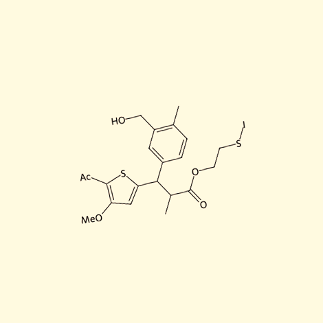 COc1cc(C(c2ccc(C)c(CO)c2)C(C)C(=O)OCCSI)sc1C(C)=O